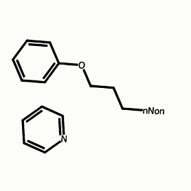 CCCCCCCCCCCCOc1ccccc1.c1ccncc1